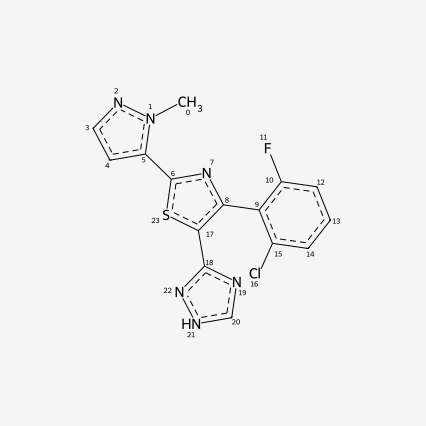 Cn1nccc1-c1nc(-c2c(F)cccc2Cl)c(-c2nc[nH]n2)s1